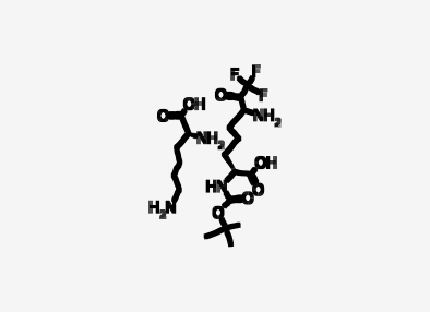 CC(C)(C)OC(=O)N[C@@H](CCCC(N)C(=O)C(F)(F)F)C(=O)O.NCCCC[C@H](N)C(=O)O